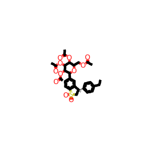 CCc1ccc([C@@H]2CS(=O)(=O)c3ccc(C4OC(COC(C)=O)C(OC(C)=O)C(OC(C)=O)C4OC(C)=O)cc32)cc1